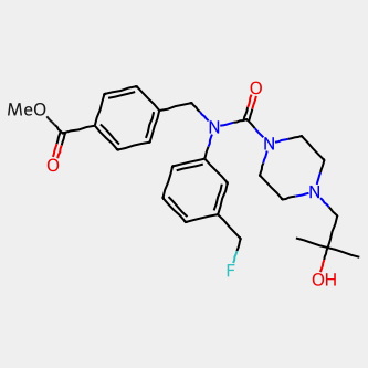 COC(=O)c1ccc(CN(C(=O)N2CCN(CC(C)(C)O)CC2)c2cccc(CF)c2)cc1